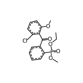 CCOP(=O)(OC)c1ccccc1C(=O)c1c(Cl)cccc1OC